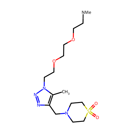 CNCCOCCOCCn1nnc(CN2CCS(=O)(=O)CC2)c1C